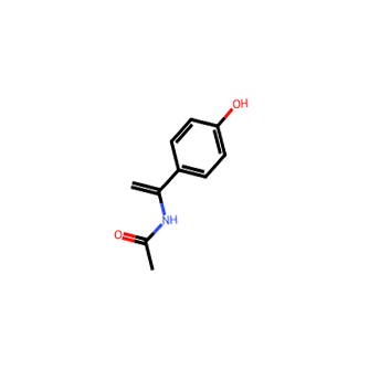 C=C(NC(C)=O)c1ccc(O)cc1